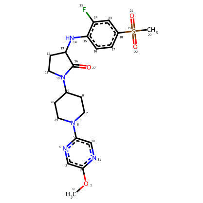 COc1cnc(N2CCC(N3CCC(Nc4ccc(S(C)(=O)=O)cc4F)C3=O)CC2)cn1